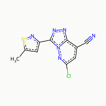 Cc1cc(-c2nnc3c(C#N)cc(Cl)nn23)ns1